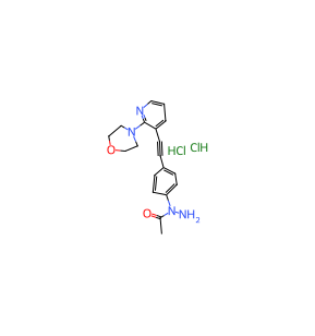 CC(=O)N(N)c1ccc(C#Cc2cccnc2N2CCOCC2)cc1.Cl.Cl